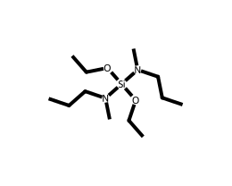 CCCN(C)[Si](OCC)(OCC)N(C)CCC